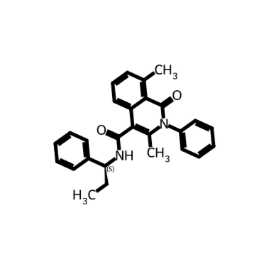 CC[C@H](NC(=O)c1c(C)n(-c2ccccc2)c(=O)c2c(C)cccc12)c1ccccc1